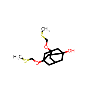 CSCOC12CC3CC(O)(C1)CC(OCSC)(C3)C2